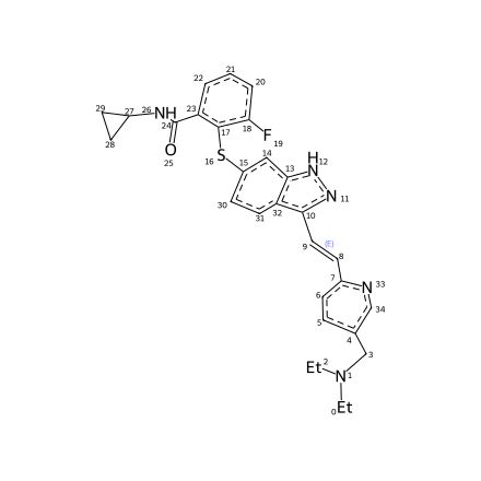 CCN(CC)Cc1ccc(/C=C/c2n[nH]c3cc(Sc4c(F)cccc4C(=O)NC4CC4)ccc23)nc1